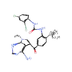 COc1ccc(C(=O)c2cn(C(C)C)c3ncnc(N)c23)cc1NC(=O)Nc1ccc(Cl)cc1Cl.CS(=O)(=O)O